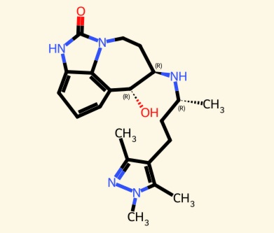 Cc1nn(C)c(C)c1CC[C@@H](C)N[C@@H]1CCn2c(=O)[nH]c3cccc(c32)[C@H]1O